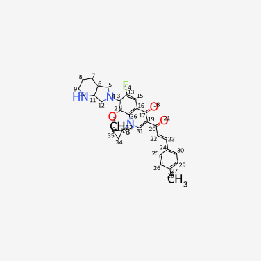 COc1c(N2CC3CCCNC3C2)c(F)cc2c(=O)c(C(=O)C=Cc3ccc(C)cc3)cn(C3CC3)c12